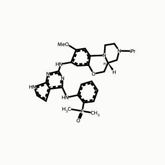 COc1cc2c(cc1Nc1nc(Nc3ccccc3P(C)(C)=O)c3cc[nH]c3n1)OC[C@H]1CN(C(C)C)CCN21